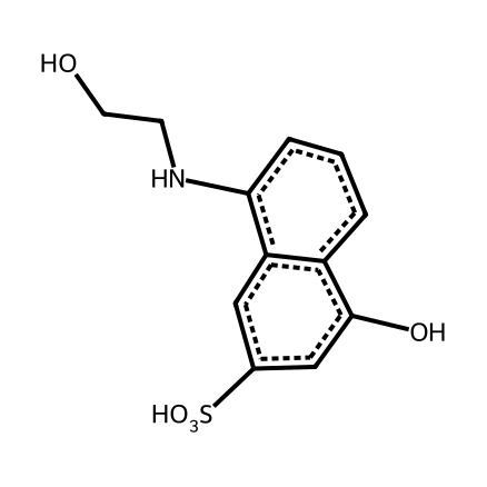 O=S(=O)(O)c1cc(O)c2cccc(NCCO)c2c1